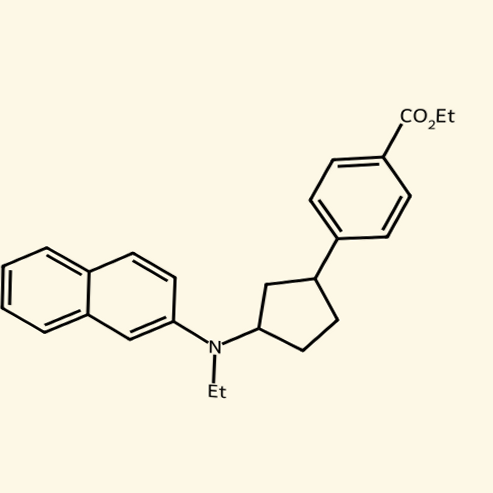 CCOC(=O)c1ccc(C2CCC(N(CC)c3ccc4ccccc4c3)C2)cc1